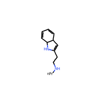 CCCNCCC1=CC2C=CC=CC2N1